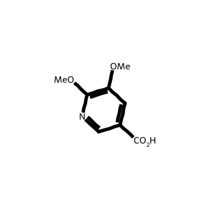 COc1cc(C(=O)O)cnc1OC